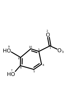 [O]C(=O)c1ccc(O)c(O)c1